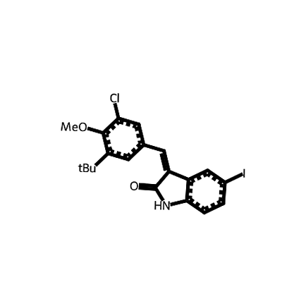 COc1c(Cl)cc(C=C2C(=O)Nc3ccc(I)cc32)cc1C(C)(C)C